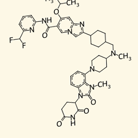 CC(C)Oc1cc2nc(C3CCC(CN(C)C4CCN(c5cccc6c5n(C)c(=O)n6C5CCC(=O)NC5=O)CC4)CC3)cn2cc1C(=O)Nc1cccc(C(F)F)n1